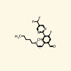 CCCCCN(C)/C=C\c1cc(-c2ncc(C(F)F)cn2)c(F)cc1C=O